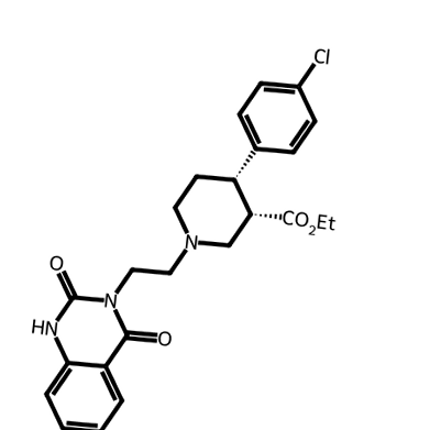 CCOC(=O)[C@@H]1CN(CCn2c(=O)[nH]c3ccccc3c2=O)CC[C@@H]1c1ccc(Cl)cc1